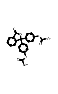 CCCC(=O)Oc1ccc(C2(c3ccc(OC(=O)CCC)cc3)OC(=O)c3ccccc32)cc1